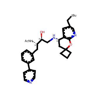 CC(=O)N[C@@H](Cc1cccc(-c2ccncc2)c1)[C@@H](O)CN[C@H]1CC2(CCC2)Oc2ncc(CC(C)(C)C)cc21